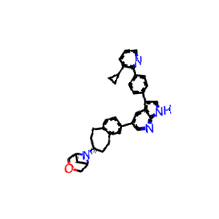 c1cnc(-c2ccc(-c3c[nH]c4ncc(-c5ccc6c(c5)CC[C@@H](N5C7COCC5C7)CC6)cc34)cc2)c(C2CC2)c1